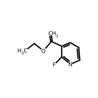 C=C(OCC)c1cccnc1F